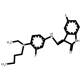 CCCCN(CC)c1ccc(N/C=C2/C(=O)Nc3ccc(F)cc32)cc1F